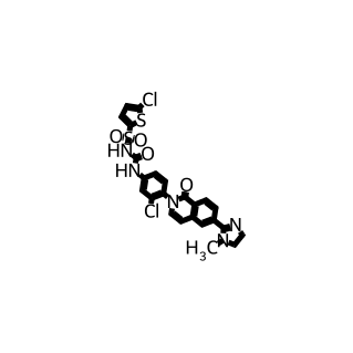 CN1CCN=C1c1ccc2c(=O)n(-c3ccc(NC(=O)NS(=O)(=O)c4ccc(Cl)s4)cc3Cl)ccc2c1